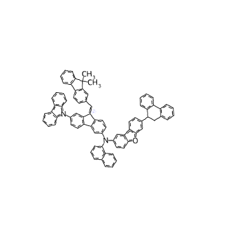 CC1(C)c2ccccc2-c2ccc(/C=C3\c4cc(-n5c6ccccc6c6ccccc65)ccc4-c4cc(N(c5ccc6oc7cc(C8Cc9ccccc9-c9ccccc98)ccc7c6c5)c5cccc6ccccc56)ccc43)cc21